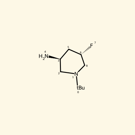 CC(C)(C)N1C[C@@H](N)C[C@H](F)C1